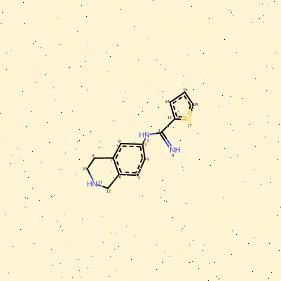 N=C(Nc1ccc2c(c1)CCNC2)c1cccs1